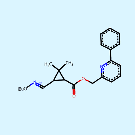 CC(C)CO/N=C/C1C(C(=O)OCc2cccc(-c3ccccc3)n2)C1(C)C